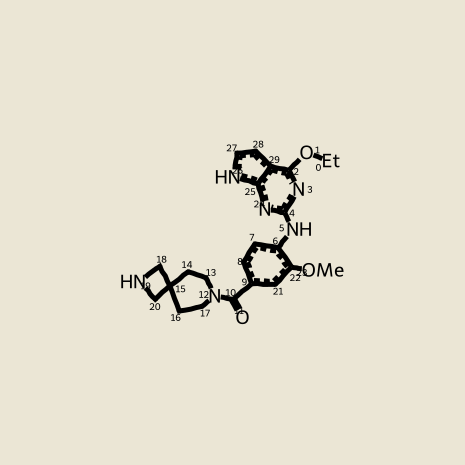 CCOc1nc(Nc2ccc(C(=O)N3CCC4(CC3)CNC4)cc2OC)nc2[nH]ccc12